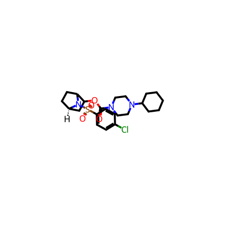 O=C(OC1C[C@H]2CCC1N2S(=O)(=O)c1ccc(Cl)cc1)N1CCN(C2CCCCC2)CC1